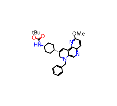 COc1ccc2ncc3c(c2n1)C=C([C@H]1CC[C@H](NC(=O)OC(C)(C)C)CC1)CN3Cc1ccccc1